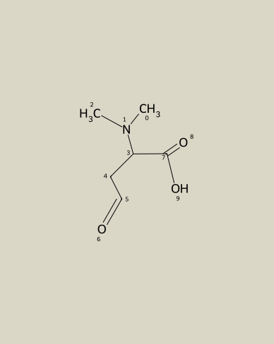 CN(C)C(CC=O)C(=O)O